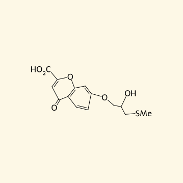 CSCC(O)COc1ccc2c(=O)cc(C(=O)O)oc2c1